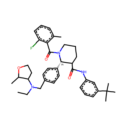 CCN(Cc1ccc([C@H]2C(C(=O)Nc3cccc(C(C)(C)C)c3)CCCN2C(=O)c2c(C)cccc2F)cc1)C1CCOC1C